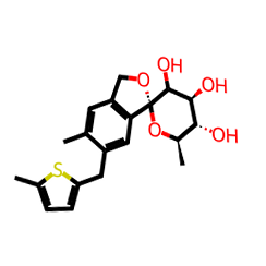 Cc1ccc(Cc2cc3c(cc2C)CO[C@]32O[C@H](C)[C@@H](O)[C@H](O)C2O)s1